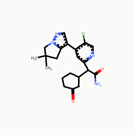 CC1(C)Cc2c(-c3cc(C(C(N)=O)C4CCCC(=O)C4)ncc3Cl)cnn2C1